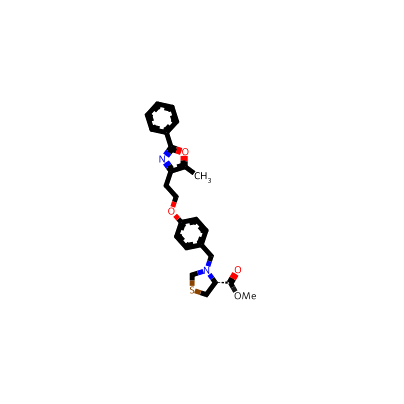 COC(=O)[C@@H]1CSCN1Cc1ccc(OCCc2nc(-c3ccccc3)oc2C)cc1